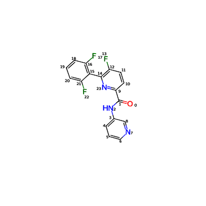 O=C(Nc1cccnc1)c1ccc(F)c(-c2c(F)cccc2F)n1